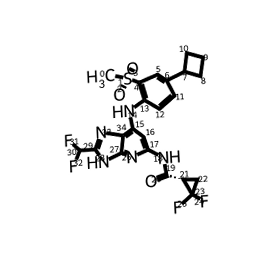 CS(=O)(=O)c1cc(C2CCC2)ccc1Nc1cc(NC(=O)[C@@H]2CC2(F)F)nc2[nH]c(C(F)F)nc12